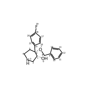 O[C@@H]1CNCC[C@@]1(OCc1ccccc1)c1ccc(F)cc1